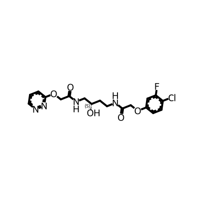 O=C(COc1ccc(Cl)c(F)c1)NCC[C@H](O)CNC(=O)COc1cccnn1